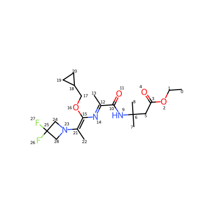 CCOC(=O)CC(C)(C)NC(=O)/C(C)=N/C(OCC1CC1)=C(\C)N1CC(F)(F)C1